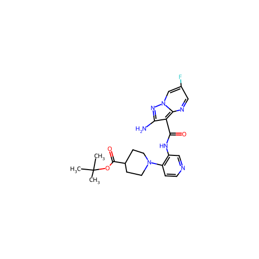 CC(C)(C)OC(=O)C1CCN(c2ccncc2NC(=O)c2c(N)nn3cc(F)cnc23)CC1